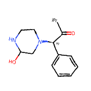 CC(C)C(=O)[C@@H](c1ccccc1)N1CCNC(O)C1